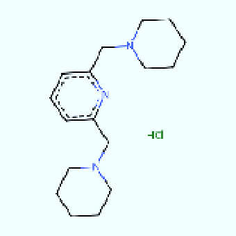 Cl.c1cc(CN2CCCCC2)nc(CN2CCCCC2)c1